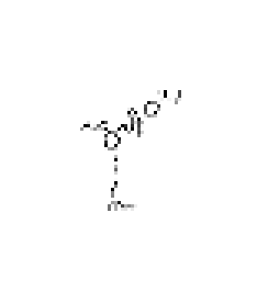 CCCCCCCCCCCCCCCCOc1ccc(OC)c(COC(=O)Nc2ccc(C(=O)O)cc2)c1